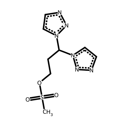 CS(=O)(=O)OCCC(n1ccnn1)n1ccnn1